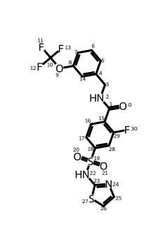 O=C(NCc1cccc(OC(F)(F)F)c1)c1ccc(S(=O)(=O)Nc2nccs2)cc1F